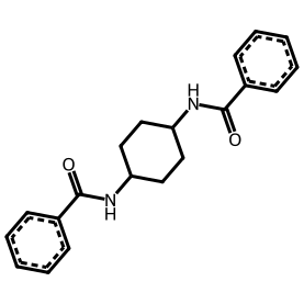 O=C(NC1CCC(NC(=O)c2ccccc2)CC1)c1ccccc1